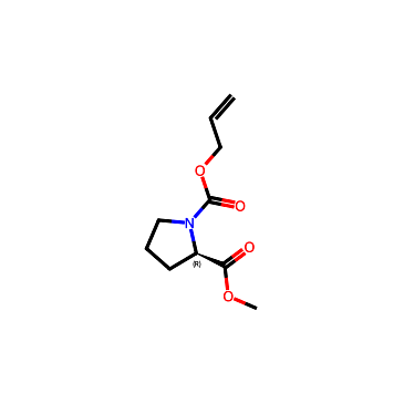 C=CCOC(=O)N1CCC[C@@H]1C(=O)OC